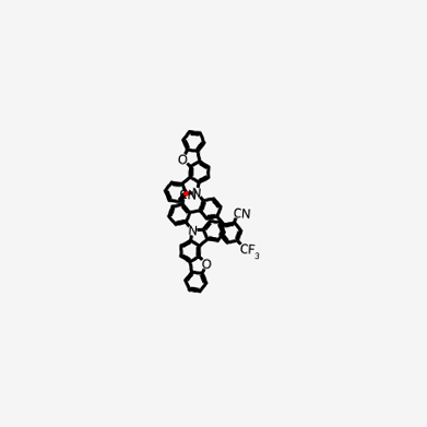 N#Cc1cc(C(F)(F)F)ccc1-c1ccc(-n2c3ccccc3c3c4oc5ccccc5c4ccc32)c(-c2c(C#N)cccc2-n2c3ccccc3c3c4oc5ccccc5c4ccc32)c1